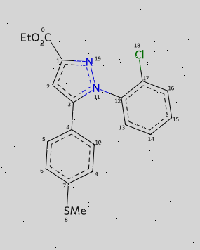 CCOC(=O)c1cc(-c2ccc(SC)cc2)n(-c2ccccc2Cl)n1